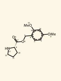 COc1ccc(COC(=O)[C@@H]2CCCN2)c(OC)c1